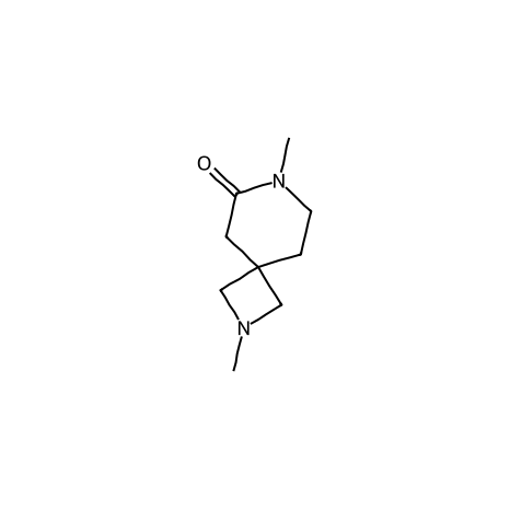 CN1CC2(CCN(C)C(=O)C2)C1